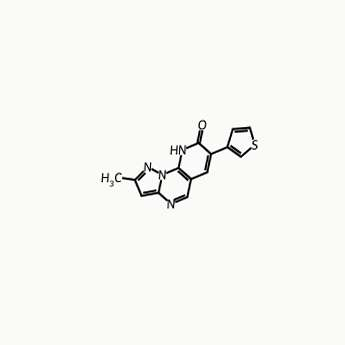 Cc1cc2ncc3cc(-c4ccsc4)c(=O)[nH]c3n2n1